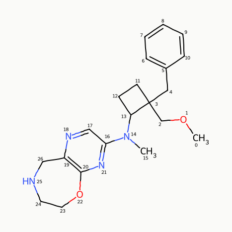 COCC1(Cc2ccccc2)CCC1N(C)c1cnc2c(n1)OCCNC2